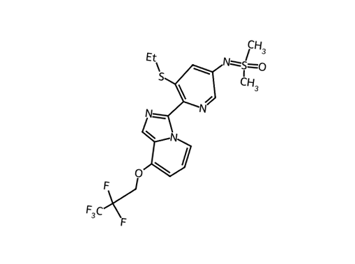 CCSc1cc(N=S(C)(C)=O)cnc1-c1ncc2c(OCC(F)(F)C(F)(F)F)cccn12